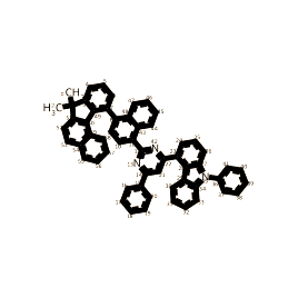 CC1(C)c2cccc(-c3ccc(-c4nc(-c5ccccc5)cc(-c5cccc6c5c5ccccc5n6-c5ccccc5)n4)c4ccccc34)c2-c2c1ccc1ccccc21